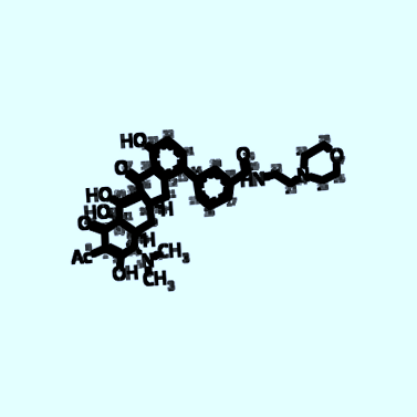 CC(=O)C1=C(O)[C@@H](N(C)C)[C@@H]2C[C@@H]3Cc4c(-c5cccc(C(=O)NCCN6CCOCC6)c5)ccc(O)c4C(=O)C3=C(O)[C@]2(O)C1=O